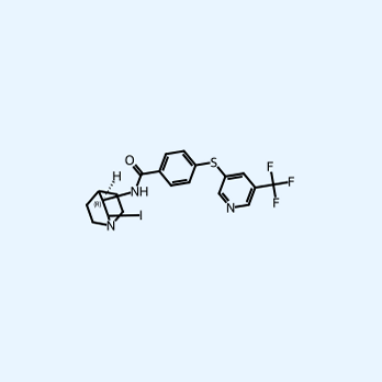 O=C(N[C@@H]1C2CCN(CC2)C1I)c1ccc(Sc2cncc(C(F)(F)F)c2)cc1